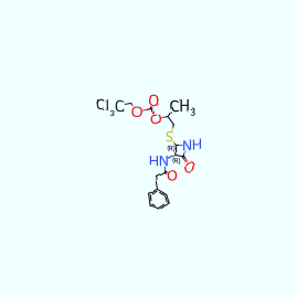 CC(CS[C@H]1NC(=O)[C@H]1NC(=O)Cc1ccccc1)OC(=O)OCC(Cl)(Cl)Cl